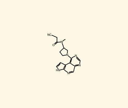 CN(C(=O)CC#N)C1CCN(c2ncnc3cnc4[nH]ccc4c23)C1